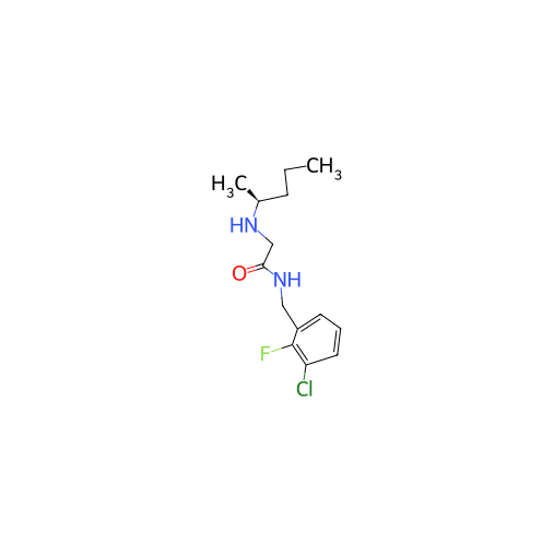 CCC[C@H](C)NCC(=O)NCc1cccc(Cl)c1F